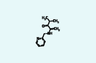 C=C(NCc1ccccn1)C(=O)C(C)C